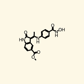 COC(=O)c1ccc2c(c1)/C(=C(/C)Nc1ccc(C(=O)NO)cc1)C(=O)N2